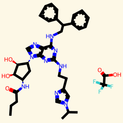 CCCC(=O)N[C@H]1C[C@@H](n2cnc3c(NCC(c4ccccc4)c4ccccc4)nc(NCCc4cn(C(C)C)cn4)nc32)[C@H](O)[C@@H]1O.O=C(O)C(F)(F)F